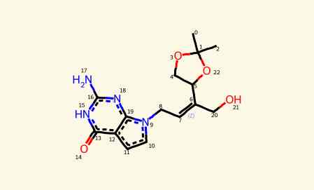 CC1(C)OCC(/C(=C\Cn2ccc3c(=O)[nH]c(N)nc32)CO)O1